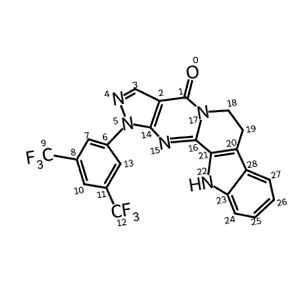 O=c1c2cnn(-c3cc(C(F)(F)F)cc(C(F)(F)F)c3)c2nc2n1CCc1c-2[nH]c2ccccc12